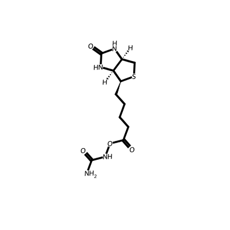 NC(=O)NOC(=O)CCCC[C@@H]1SC[C@@H]2NC(=O)N[C@@H]21